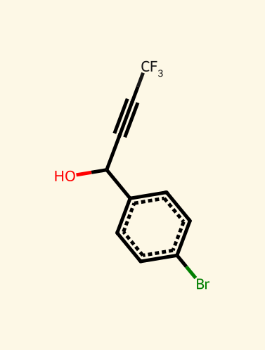 OC(C#CC(F)(F)F)c1ccc(Br)cc1